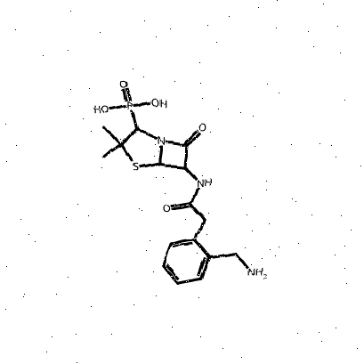 CC1(C)SC2C(NC(=O)Cc3ccccc3CN)C(=O)N2C1P(=O)(O)O